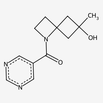 CC1(O)CC2(CCN2C(=O)c2cncnc2)C1